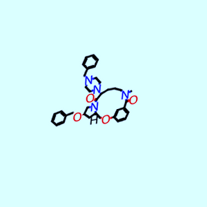 CN1CCC[C@H](N2CCN(Cc3ccccc3)CC2)C(=O)N2C[C@@H](OCc3ccccc3)C[C@H]2COc2cccc(c2)C1=O